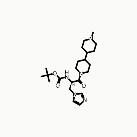 CN1CCC(C2CCN(C(=O)[C@@H](Cn3ccnc3)NC(=O)OC(C)(C)C)CC2)CC1